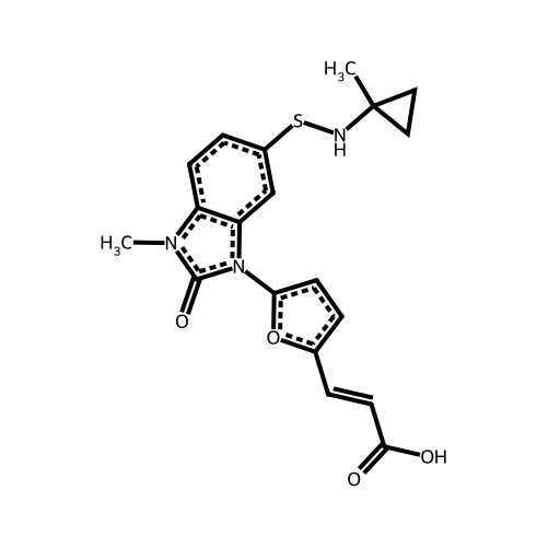 Cn1c(=O)n(-c2ccc(/C=C/C(=O)O)o2)c2cc(SNC3(C)CC3)ccc21